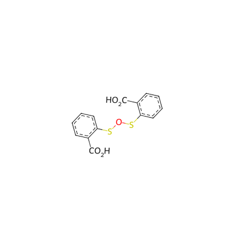 O=C(O)c1ccccc1SOSc1ccccc1C(=O)O